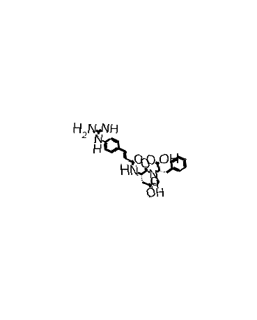 N=C(N)Nc1ccc(C=CC(=O)N[C@@H](CC(=O)O)C(=O)N[C@@H](Cc2ccccc2)C(=O)O)cc1